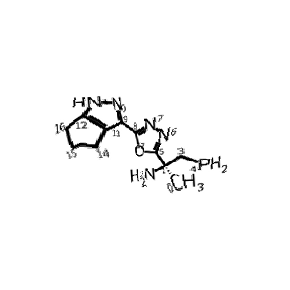 C[C@@](N)(CP)c1nnc(-c2n[nH]c3c2CCC3)o1